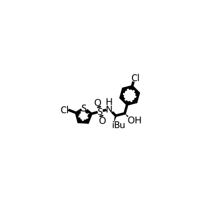 CC[C@H](C)C(NS(=O)(=O)c1ccc(Cl)s1)[C@@H](O)c1ccc(Cl)cc1